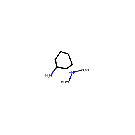 CCCCCCCCNCCCCCCCC.NC1CCCCC1